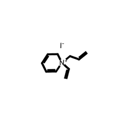 C=CC[N+]1(C=C)C=CC=CC1.[I-]